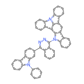 c1ccc(-n2c3ccccc3c3ccc(-c4nnc(-n5c6ccccc6c6cc7c8ccccc8n8c9ccccc9c(c65)c78)c5ccccc45)cc32)cc1